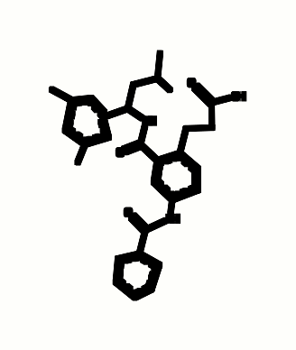 Cc1cc(C)cc(C(CC(C)C)NC(=O)c2cc(NC(=O)c3ccccc3)ccc2CCC(=O)O)c1